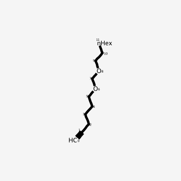 C#CCCCCOCOCCCCCCCC